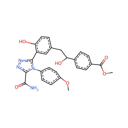 COC(=O)c1ccc(C(O)Cc2ccc(O)c(-c3nnc(C(N)=O)n3-c3ccc(OC)cc3)c2)cc1